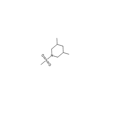 CC1CC(C)CN(S(C)(=O)=O)C1